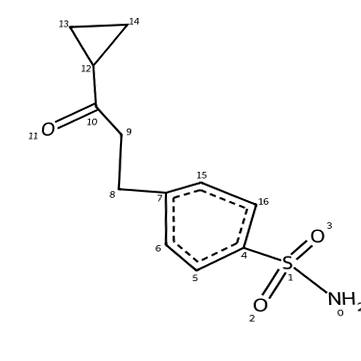 NS(=O)(=O)c1ccc(CCC(=O)C2CC2)cc1